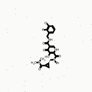 CC(C)N(C[C@@H]1CC1C(=O)N(C)C)C(=O)c1[nH]cc(C(=O)NCc2cccc(Cl)c2F)c(=O)c1O